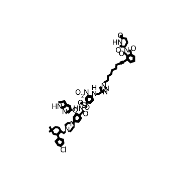 CC1(C)CCC(CN2CCN(c3ccc(C(=O)NS(=O)(=O)c4ccc(NCc5cn(CCCCCCCC#Cc6cccc7c6C(=O)N(C6CCC(=O)NC6=O)C7=O)nn5)c([N+](=O)[O-])c4)c(Oc4cnc5[nH]ccc5c4)c3)CC2)=C(c2ccc(Cl)cc2)C1